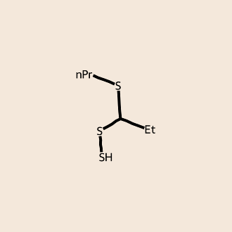 CCCSC(CC)SS